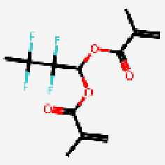 C=C(C)C(=O)OC(OC(=O)C(=C)C)C(F)(F)C(C)(F)F